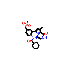 Cc1cc(-c2cc(CS(C)(=O)=O)ccc2NC(=O)C2CCCCC2)n2cc[nH]c(=O)c12